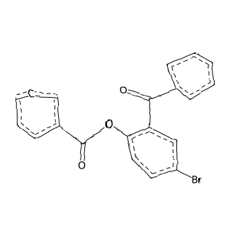 O=C(Oc1ccc(Br)cc1C(=O)c1ccccc1)c1ccccc1